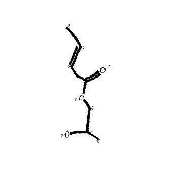 CC=CC(=O)OCC(C)[O]